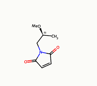 CO[C@@H](C)CN1C(=O)C=CC1=O